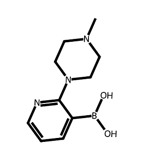 CN1CCN(c2ncccc2B(O)O)CC1